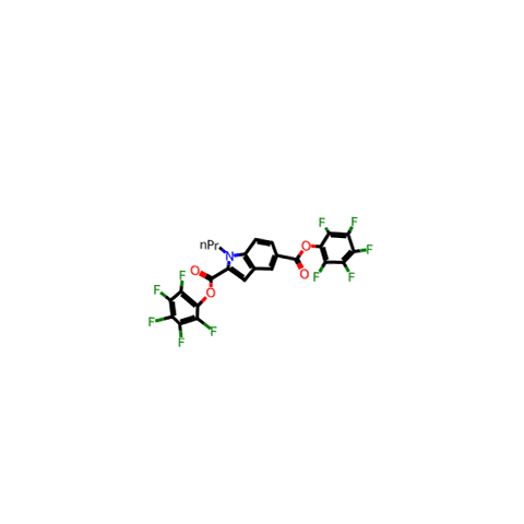 CCCn1c(C(=O)Oc2c(F)c(F)c(F)c(F)c2F)cc2cc(C(=O)Oc3c(F)c(F)c(F)c(F)c3F)ccc21